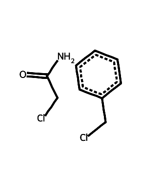 ClCc1ccccc1.NC(=O)CCl